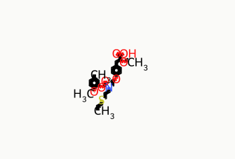 CCCSCCCN(CCOc1ccc(CC(OCC)C(=O)O)cc1)C(=O)Oc1cc(C)ccc1OC